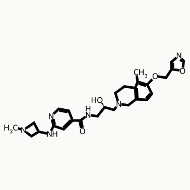 Cc1c(OCc2cnco2)ccc2c1CCN(C[C@@H](O)CNC(=O)c1ccnc(NC3CN(C)C3)c1)C2